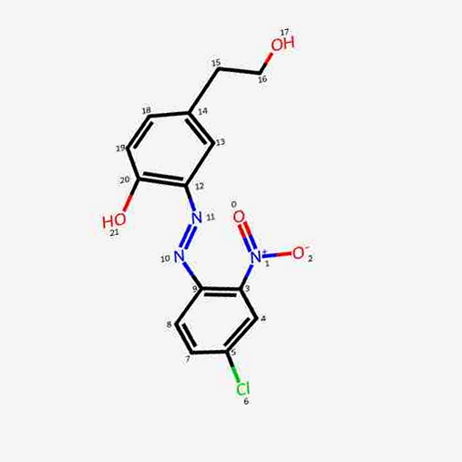 O=[N+]([O-])c1cc(Cl)ccc1N=Nc1cc(CCO)ccc1O